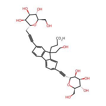 O=C(O)CCC1(CCO)c2cc(C#CC[C@H]3O[C@H](CO)[C@@H](O)[C@H](O)[C@@H]3O)ccc2-c2ccc(C#C[C@H]3O[C@H](CO)[C@@H](O)[C@H](O)[C@@H]3O)cc21